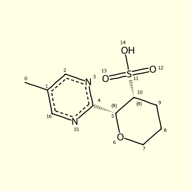 Cc1cnc([C@H]2OCCC[C@H]2S(=O)(=O)O)nc1